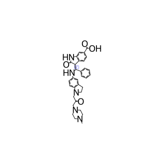 CN1CCN(CC(=O)CN2CCc3cc(N/C(=C4\C(=O)Nc5cc(C(=O)O)ccc54)c4ccccc4)ccc32)CC1